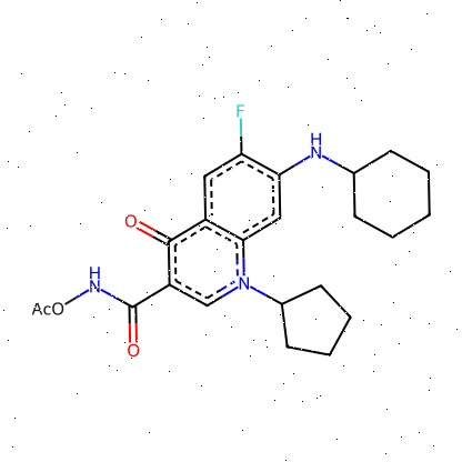 CC(=O)ONC(=O)c1cn(C2CCCC2)c2cc(NC3CCCCC3)c(F)cc2c1=O